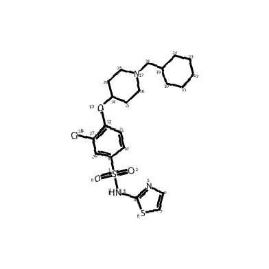 O=S(=O)(Nc1nccs1)c1ccc(OC2CCN(CC3CCCCC3)CC2)c(Cl)c1